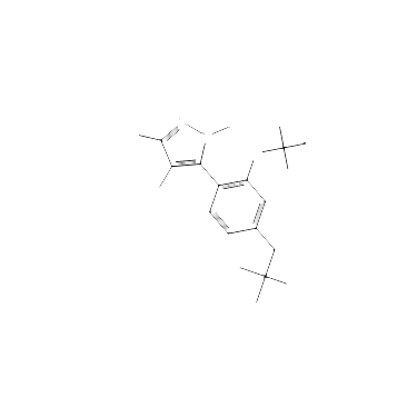 [2H]C([2H])([2H])Oc1cc(CC(C)(C)C(F)(F)F)ccc1-c1c(Cl)c(C(=O)OCC)nn1CC